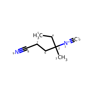 [C-]#[N+]C(C)(CC)CCC#N